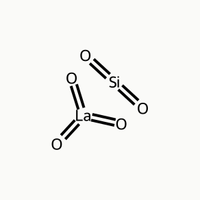 O=[Si]=O.[O]=[La](=[O])=[O]